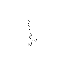 CCCCCSSC(=O)O